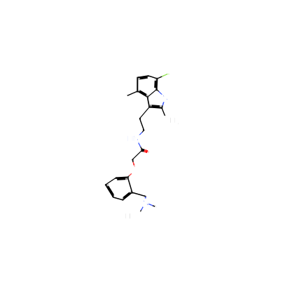 Cc1[nH]c2c(F)ccc(C)c2c1CCNC(=O)COc1ccccc1CN(C)C